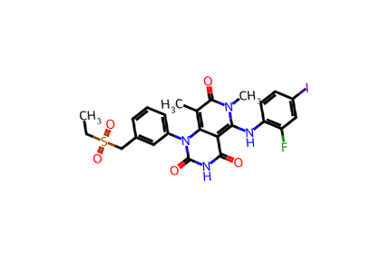 CCS(=O)(=O)Cc1cccc(-n2c(=O)[nH]c(=O)c3c(Nc4ccc(I)cc4F)n(C)c(=O)c(C)c32)c1